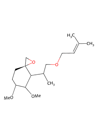 COC1CC[C@]2(CO2)C(C(C)COCC=C(C)C)C1OC